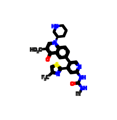 CCNC(=O)Nc1cc(-c2nc(C(F)(F)F)cs2)c(-c2ccc3c(c2)c(=O)c(C(=O)O)cn3[C@H]2CCCNC2)cn1